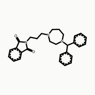 O=C1c2ccccc2C(=O)N1CCCN1CCCN(C(c2ccccc2)c2ccccc2)CC1